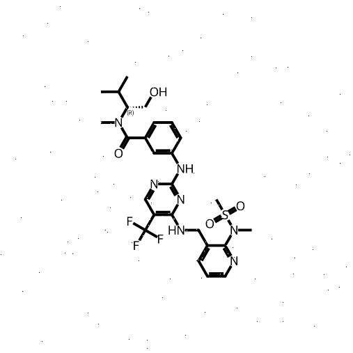 CC(C)[C@H](CO)N(C)C(=O)c1cccc(Nc2ncc(C(F)(F)F)c(NCc3cccnc3N(C)S(C)(=O)=O)n2)c1